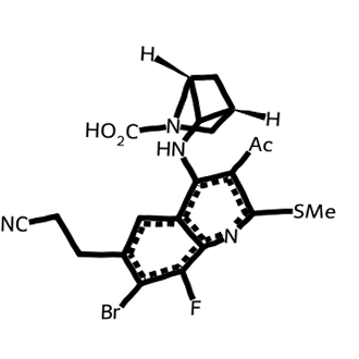 CSc1nc2c(F)c(Br)c(CCC#N)cc2c(NC2[C@@H]3C[C@H]2N(C(=O)O)C3)c1C(C)=O